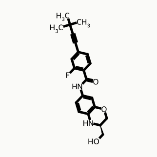 CC(C)(C)C#Cc1ccc(C(=O)Nc2ccc3c(c2)OC[C@@H](CO)N3)c(F)c1